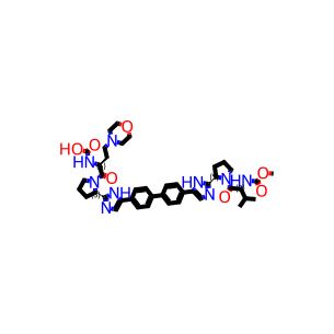 COC(=O)N[C@H](C(=O)N1CCC[C@H]1c1ncc(-c2ccc(-c3ccc(-c4cnc([C@@H]5CCCN5C(=O)[C@H](CCN5CCOCC5)NC(=O)O)[nH]4)cc3)cc2)[nH]1)C(C)C